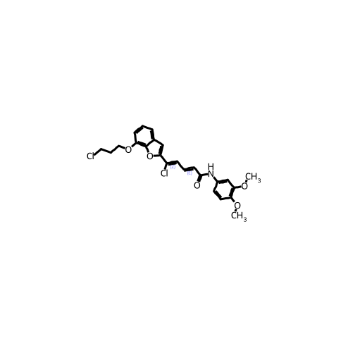 COc1ccc(NC(=O)/C=C/C=C(\Cl)c2cc3cccc(OCCCCl)c3o2)cc1OC